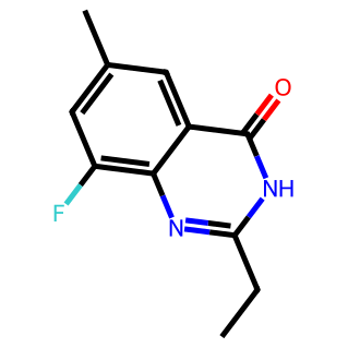 CCc1nc2c(F)cc(C)cc2c(=O)[nH]1